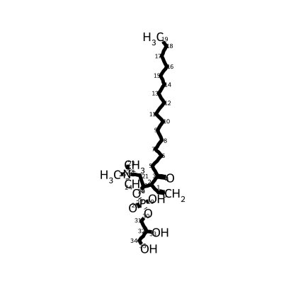 C=CC(C(=O)CCCCCCCCCCCCCCC)C(C[N+](C)(C)C)OP(=O)(O)OCC(O)CO